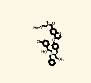 COCCN(C)C(=O)c1ccc2c(Oc3ccc(C[C@@H](CO)N(Cc4ccccc4)C[C@@H](O)c4cccc(Cl)c4)cc3)ccnc2c1